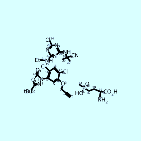 C#CCOc1cc(-n2nc(C(C)(C)C)oc2=O)c(Cl)cc1Cl.CCNc1nc(Cl)nc(NC(C)(C)C#N)n1.CP(=O)(O)CCC(N)C(=O)O